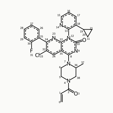 C=CC(=O)N1CCN(c2nc(=O)n(-c3ncccc3C3CC3)c3nc(-c4ccccc4F)c(Cl)cc23)C(C)C1